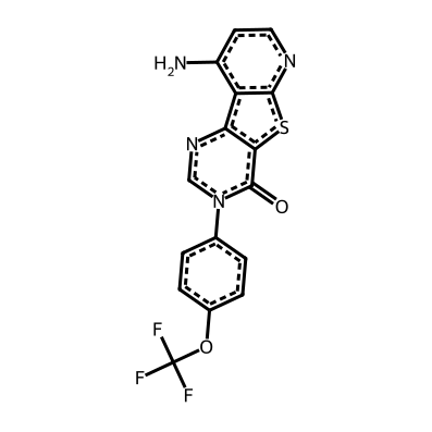 Nc1ccnc2sc3c(=O)n(-c4ccc(OC(F)(F)F)cc4)cnc3c12